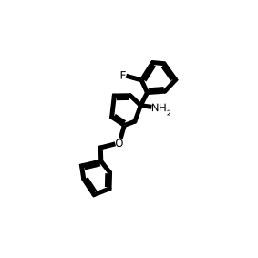 NC1(c2ccccc2F)C=CC=C(OCc2ccccc2)C1